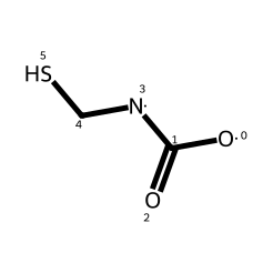 [O]C(=O)[N]CS